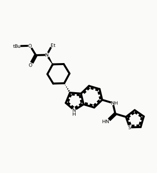 CCN(C(=O)OC(C)(C)C)[C@H]1CC[C@H](c2c[nH]c3cc(NC(=N)c4cccs4)ccc32)CC1